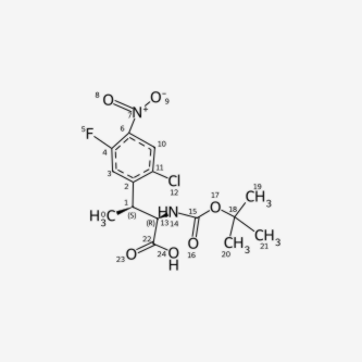 C[C@@H](c1cc(F)c([N+](=O)[O-])cc1Cl)[C@@H](NC(=O)OC(C)(C)C)C(=O)O